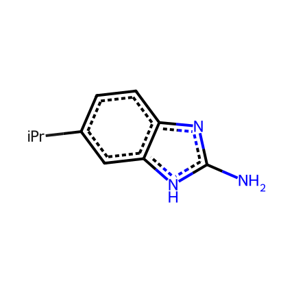 CC(C)c1ccc2nc(N)[nH]c2c1